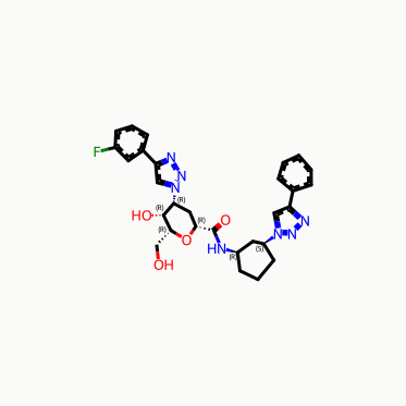 O=C(N[C@@H]1CCC[C@H](n2cc(-c3ccccc3)nn2)C1)[C@H]1C[C@@H](n2cc(-c3cccc(F)c3)nn2)[C@@H](O)[C@@H](CO)O1